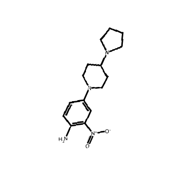 Nc1ccc(N2CCC(N3CCCC3)CC2)cc1[N+](=O)[O-]